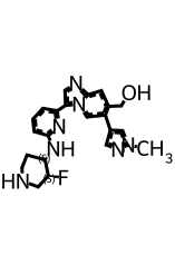 Cn1cc(-c2cn3c(-c4cccc(N[C@H]5CCNC[C@@H]5F)n4)cnc3cc2CO)cn1